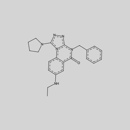 CCNc1ccc2c(c1)c(=O)n(Cc1ccccc1)c1nnc(N3CCCC3)n21